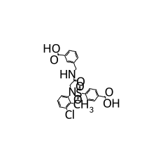 Cc1c(Cl)cccc1N(CC(=O)NCc1cccc(C(=O)O)c1)S(=O)(=O)c1ccc(C(=O)O)cc1